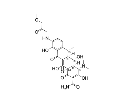 COCC(=O)CNc1ccc2c(c1O)C(=O)C1=C(O)[C@]3(O)C(=O)C(C(N)=O)=C(O)[C@@H](N(C)C)[C@@H]3[C@@H](O)[C@@H]1[C@H]2C